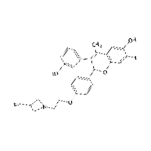 CCC1CN(CCOc2ccc(C3Oc4cc(F)c(O)cc4C(C)=C3c3cccc(O)c3)cc2)C1